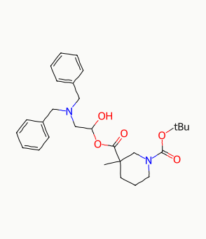 CC(C)(C)OC(=O)N1CCCC(C)(C(=O)OC(O)CN(Cc2ccccc2)Cc2ccccc2)C1